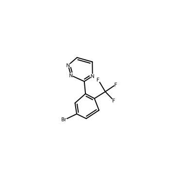 FC(F)(F)c1ccc(Br)cc1-c1nccnn1